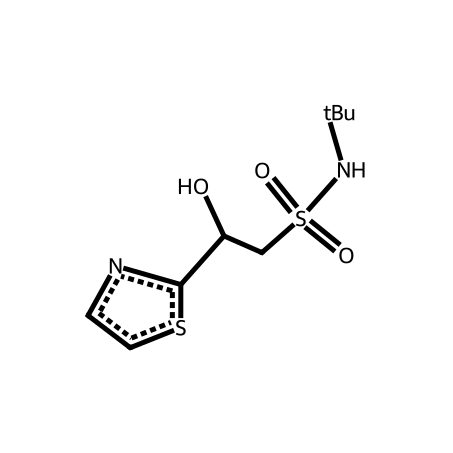 CC(C)(C)NS(=O)(=O)CC(O)c1nccs1